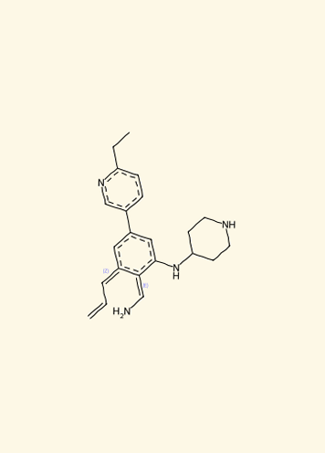 C=C/C=c1/cc(-c2ccc(CC)nc2)cc(NC2CCNCC2)/c1=C/N